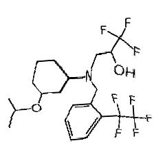 CC(C)OC1CCCC(N(Cc2ccccc2C(F)(F)C(F)(F)F)CC(O)C(F)(F)F)C1